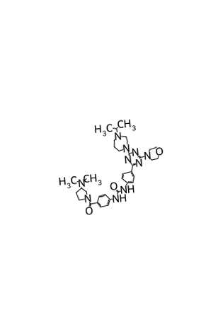 CC(C)N1CCCN(c2nc(-c3ccc(NC(=O)Nc4ccc(C(=O)N5CC[C@H](N(C)C)C5)cc4)cc3)nc(N3CCOCC3)n2)CC1